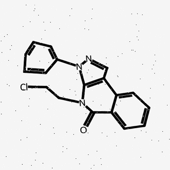 O=c1c2ccccc2c2cnn(-c3ccccc3)c2n1CCCl